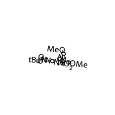 COc1ccc(CN(Cc2ccc(OC)cc2)c2nccc(Nc3ccc(N4CCN(C(=O)OC(C)(C)C)CC4)cc3)c2[N+](=O)[O-])cc1